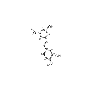 COc1cc(O)cc(C=Cc2ccc(OC)c(O)c2)c1